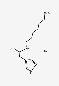 CCCCCCCCCCCCCCCCNC(Cc1c[nH]cn1)C(=O)O.[NaH]